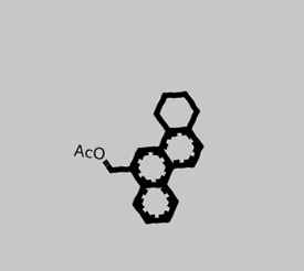 CC(=O)OCc1cc2c3c(ccc2c2ccccc12)CCCC3